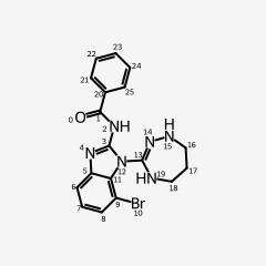 O=C(Nc1nc2cccc(Br)c2n1C1=NNCCCN1)c1ccccc1